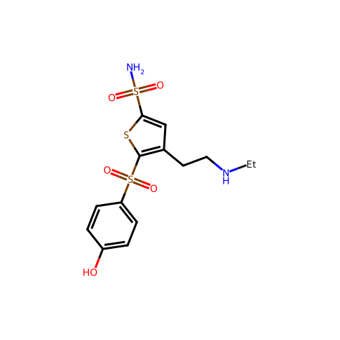 CCNCCc1cc(S(N)(=O)=O)sc1S(=O)(=O)c1ccc(O)cc1